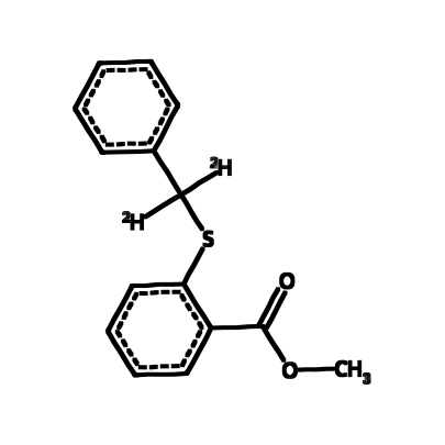 [2H]C([2H])(Sc1ccccc1C(=O)OC)c1ccccc1